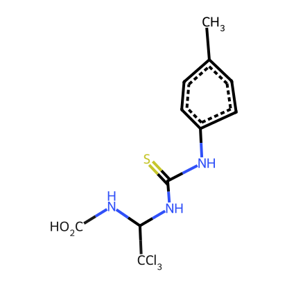 Cc1ccc(NC(=S)NC(NC(=O)O)C(Cl)(Cl)Cl)cc1